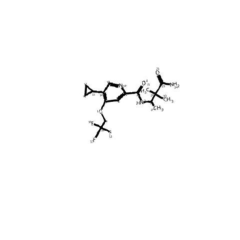 CC(NC(=O)c1cc(OCC(F)(F)F)c(C2CC2)cn1)C(C)(C)C(N)=O